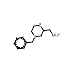 O=C(O)CC1CN(Cc2ccccc2)CCO1